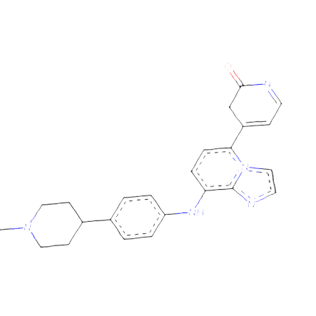 CC(C)N1CCC(c2ccc(Nc3ccc(C4=CC=NC(=O)C4)n4ccnc34)cc2)CC1